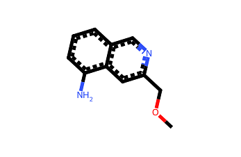 COCc1cc2c(N)cccc2cn1